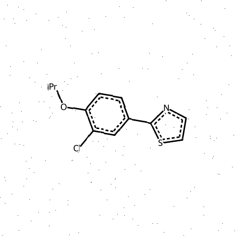 CC(C)Oc1ccc(-c2nccs2)cc1Cl